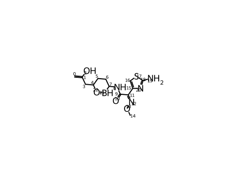 C=C(O)CC1CCC(NC(=O)/C(=N\OC)c2csc(N)n2)BO1